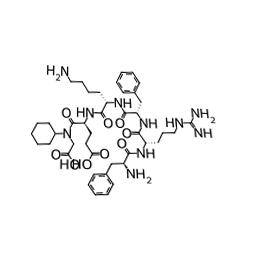 N=C(N)NCCC[C@H](NC(=O)[C@@H](N)Cc1ccccc1)C(=O)N[C@@H](Cc1ccccc1)C(=O)N[C@@H](CCCCN)C(=O)N[C@@H](CCC(=O)O)C(=O)N(CC(=O)O)C1CCCCC1